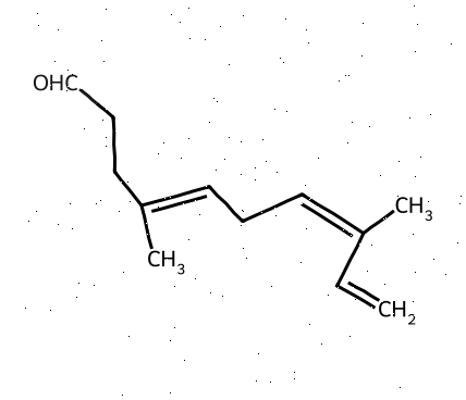 C=CC(C)=CCC=C(C)CCC=O